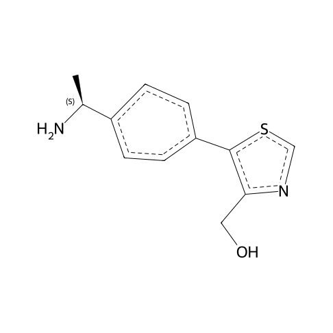 C[C@H](N)c1ccc(-c2scnc2CO)cc1